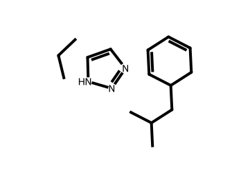 CC(C)CC1C=CC=CC1.CCC.c1c[nH]nn1